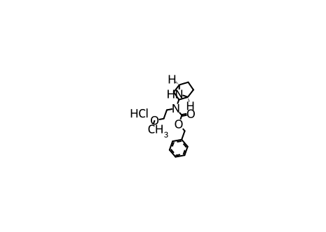 COCCN(C(=O)OCc1ccccc1)C1C[C@H]2CC[C@@H]1N2.Cl